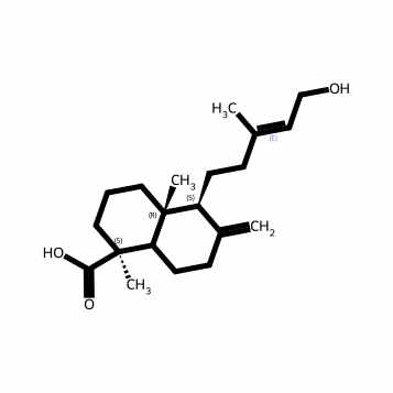 C=C1CCC2[C@](C)(CCC[C@]2(C)C(=O)O)[C@H]1CC/C(C)=C/CO